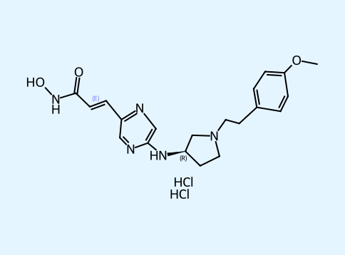 COc1ccc(CCN2CC[C@@H](Nc3cnc(/C=C/C(=O)NO)cn3)C2)cc1.Cl.Cl